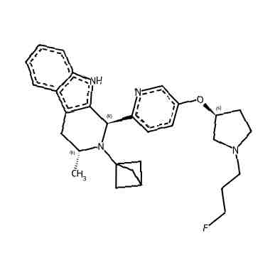 C[C@@H]1Cc2c([nH]c3ccccc23)[C@@H](c2ccc(O[C@H]3CCN(CCCF)C3)cn2)N1C12CC(C1)C2